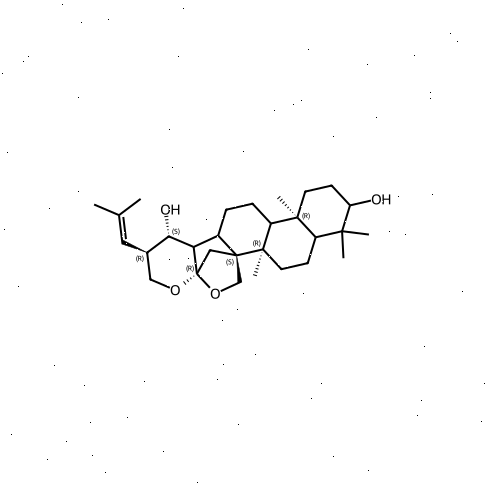 CC(C)=C[C@@H]1CO[C@]23C[C@]4(CO2)C(CCC2[C@@]5(C)CCC(O)C(C)(C)C5CC[C@]24C)C3[C@H]1O